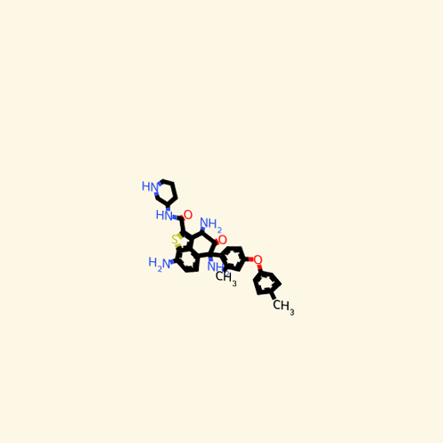 Cc1ccc(Oc2ccc(C3(N)C(=O)C(N)c4c(C(=O)NC5CCCNC5)sc5c(N)ccc3c45)c(C)c2)cc1